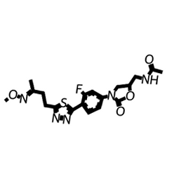 CON=C(C)CCc1nnc(-c2ccc(N3CC(CNC(C)=O)OC3=O)cc2F)s1